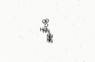 Cc1ncn(-c2ncc(CNCC(O)c3ccc4c(c3C)COC4=O)cn2)n1